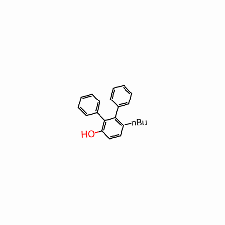 CCCCc1ccc(O)c(-c2ccccc2)c1-c1ccccc1